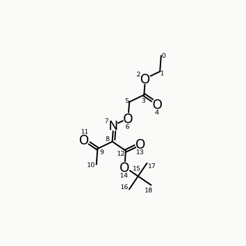 CCOC(=O)CON=C(C(C)=O)C(=O)OC(C)(C)C